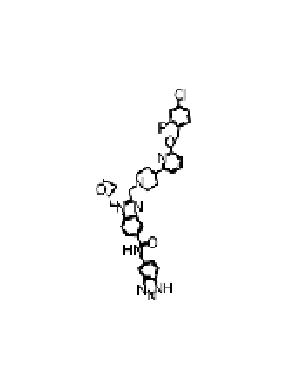 O=C(Nc1ccc2[nH]nnc2c1)c1ccc2c(c1)nc(CN1CCC(c3cccc(OCc4ccc(Cl)cc4F)n3)CC1)n2C[C@@H]1CCO1